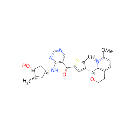 COc1ccc2c(n1)[C@@H](c1cc(C(=O)c3cncnc3N[C@@H]3C[C@@H](C)[C@H](O)C3)sc1C)OCC2